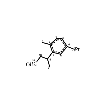 Cc1ccc(C(C)C)cc1C(C)CC=O